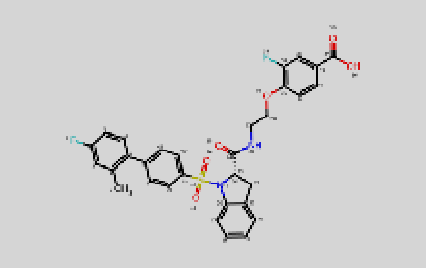 Cc1cc(F)ccc1-c1ccc(S(=O)(=O)N2c3ccccc3C[C@H]2C(=O)NCCOc2ccc(C(=O)O)cc2F)cc1